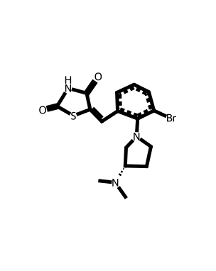 CN(C)[C@H]1CCN(c2c(Br)cccc2/C=C2/SC(=O)NC2=O)C1